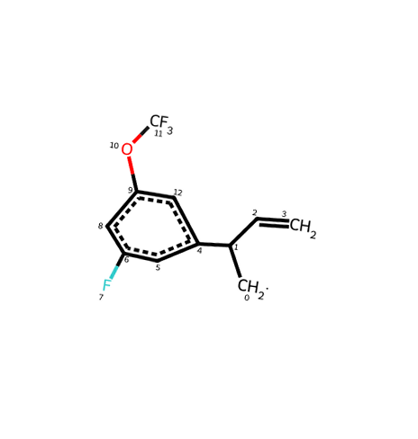 [CH2]C(C=C)c1cc(F)cc(OC(F)(F)F)c1